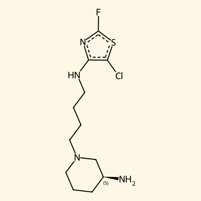 N[C@H]1CCCN(CCCCNc2nc(F)sc2Cl)C1